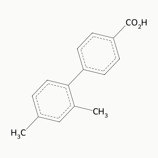 Cc1ccc(-c2ccc(C(=O)O)cc2)c(C)c1